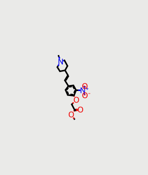 COC(=O)COc1ccc(C=CC2CCN(C)CC2)cc1[N+](=O)[O-]